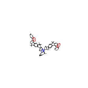 Cc1cccc(N(c2ccc3c(c2)C(C)(C)c2cc4c(cc2-3)C(C)(C)c2ccc3c(oc5ccccc53)c2-4)c2ccc3c(c2)C(C)(C)c2cc4c(cc2-3)C(C)(C)c2ccc3oc5ccccc5c3c2-4)c1